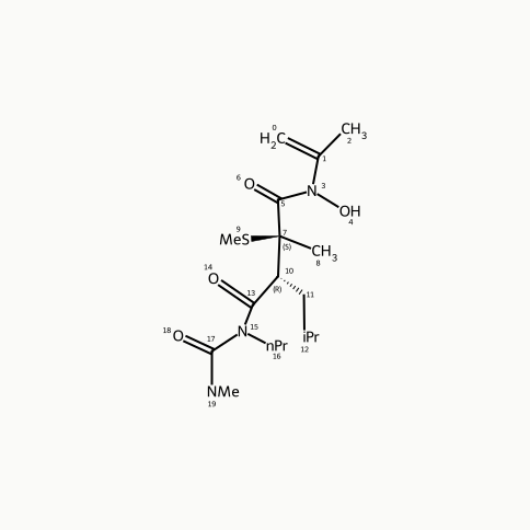 C=C(C)N(O)C(=O)[C@@](C)(SC)[C@H](CC(C)C)C(=O)N(CCC)C(=O)NC